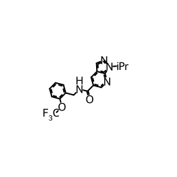 CC(C)n1ncc2cc(C(=O)NCc3ccccc3OC(F)(F)F)cnc21